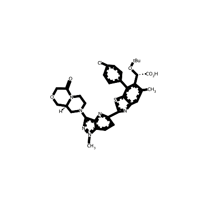 Cc1cc2nc(-c3ccc4c(n3)c(N3CCN5C(=O)COC[C@@H]5C3)nn4C)sc2c(-c2ccc(Cl)cc2)c1[C@H](OC(C)(C)C)C(=O)O